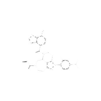 C=CC(=O)N1CCc2nn(-c3ccc(C(C)C)cc3O)c3c2[C@@H](C1)N(C(=O)c1ccc(Br)c2[nH]cnc12)CC3